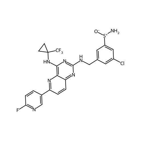 N[S+]([O-])c1cc(Cl)cc(CNc2nc(NC3(C(F)(F)F)CC3)c3nc(-c4ccc(F)nc4)ccc3n2)c1